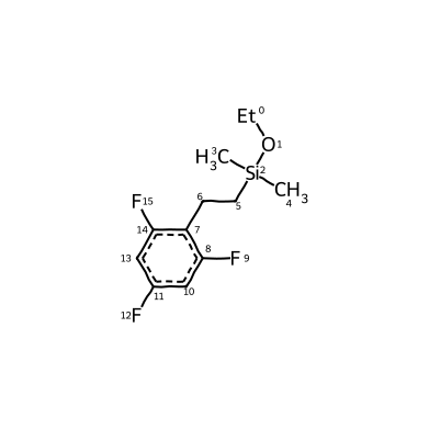 CCO[Si](C)(C)CCc1c(F)cc(F)cc1F